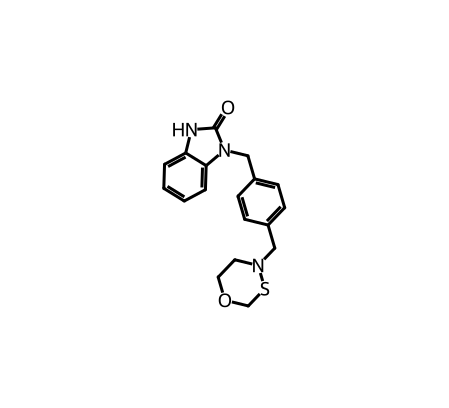 O=c1[nH]c2ccccc2n1Cc1ccc(CN2CCOCS2)cc1